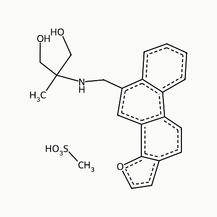 CC(CO)(CO)NCc1cc2c(ccc3ccoc32)c2ccccc12.CS(=O)(=O)O